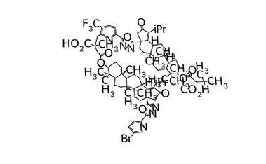 CC(C)C1=C2[C@H]3CCC4[C@@]5(C)CC[C@H](OC(=O)CC(C)(Cc6nc(-c7nnc([C@@]89CC[C@]%10(C)[C@H](CC[C@@H]%11[C@@]%12(C)CC[C@H](OC(=O)CC(C)(C)C(=O)O)C(C)(C)C%12CC[C@]%11%10C)C8=C(C(C)C)C(=O)C9)o7)ccc6C(F)(F)F)C(=O)O)C(C)(C)C5CC[C@@]4(C)[C@]3(C)CC[C@@]2(c2nnc(-c3ccc(Br)cn3)o2)CC1=O